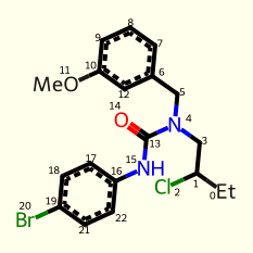 CCC(Cl)CN(Cc1cccc(OC)c1)C(=O)Nc1ccc(Br)cc1